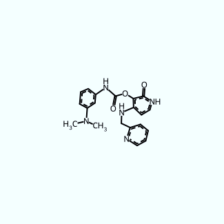 CN(C)c1cccc(NC(=O)Oc2c(NCc3ccccn3)cc[nH]c2=O)c1